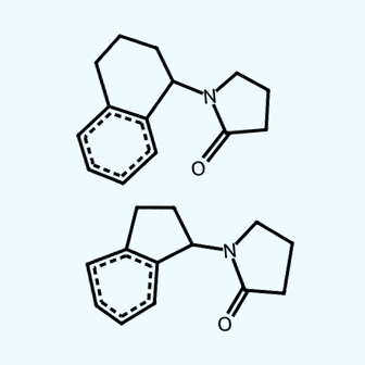 O=C1CCCN1C1CCCc2ccccc21.O=C1CCCN1C1CCc2ccccc21